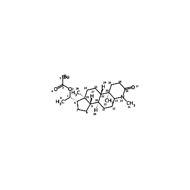 CC(OC(=O)C(C)(C)C)[C@H]1CC[C@H]2[C@@H]3CCC4N(C)C(=O)CC[C@]4(C)[C@H]3CC[C@]12C